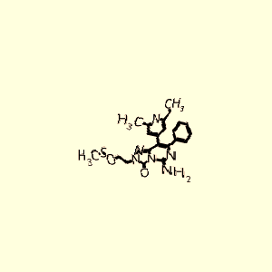 CCc1cc(-c2c(-c3ccccc3)nc(N)n3c(=O)n(CCOSC)nc23)cc(C)n1